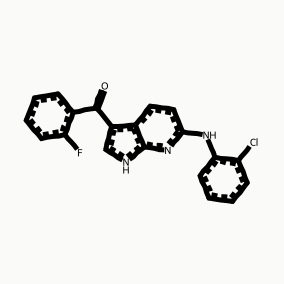 O=C(c1ccccc1F)c1c[nH]c2nc(Nc3ccccc3Cl)ccc12